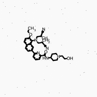 C=C(C#N)CN(CC(=C)C#N)c1c(OCC)ccc2ccc(-c3cccc(C(=O)NC4CCN(CCO)CC4)n3)cc12